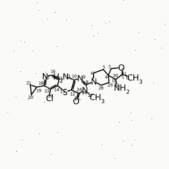 C[C@@H]1OCC2(CCN(c3nc(N)c(Sc4ccnc(C5CC5)c4Cl)c(=O)n3C)CC2)[C@@H]1N